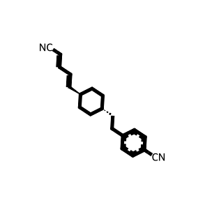 N#CC=CC=C[C@H]1CC[C@H](CCc2ccc(C#N)cc2)CC1